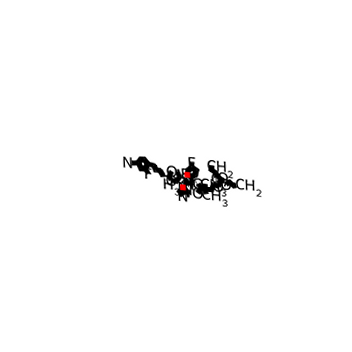 C=CCOP(=O)(OCC=C)OCCC(C)(C)C(=O)O[C@@](Cn1cncn1)(c1ccc(F)cc1F)[C@@H](C)S[C@H]1CO[C@H](C=CC=Cc2ccc(C#N)cc2F)OC1